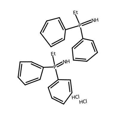 CCP(=N)(c1ccccc1)c1ccccc1.CCP(=N)(c1ccccc1)c1ccccc1.Cl.Cl